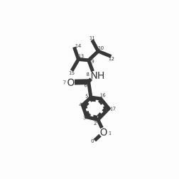 COc1ccc(C(=O)NC(C(C)C)C(C)C)cc1